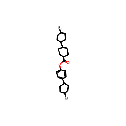 CCC1CCC(c2ccc(OC(=O)C3CCC(C4CCC(CC)CC4)CC3)cc2)CC1